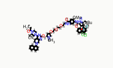 C=CC(=O)N1CCN(c2nc(OC[C@@H]3C[C@@H](OCCOCCOCCNC(=O)c4ccc(NC(=O)[C@@H]5N[C@@H](CC(C)(C)C)[C@](C#N)(c6ccc(Cl)cc6F)[C@H]5c5cccc(Cl)c5F)c(OC)c4)CN3C)nc3c2CCN(c2cccc4ccccc24)C3)C[C@@H]1CC#N